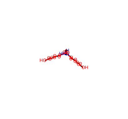 O=C(CCCCC(=O)OCCOCCOC(=O)CCCCCO)OCCCCCNc1ccc(NCCCCCOC(=O)CCCCC(=O)OCCOCCOC(=O)CCCCCO)c2c1C(=O)c1ccccc1C2=O